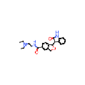 CCN(CC)CCNC(=O)c1ccc2c(c1)COC2C1C(=O)Nc2ccccc21